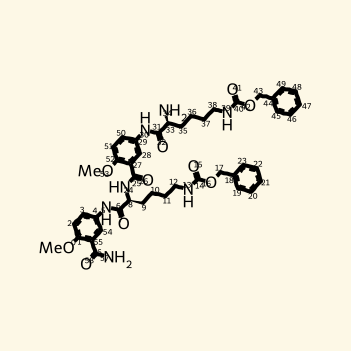 COc1ccc(NC(=O)[C@H](CCCCNC(=O)OCc2ccccc2)NC(=O)c2cc(NC(=O)[C@@H](N)CCCCNC(=O)OCc3ccccc3)ccc2OC)cc1C(N)=O